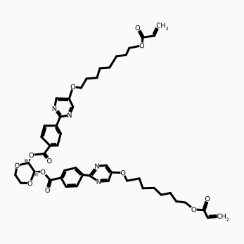 C=CC(=O)OCCCCCCCCOc1cnc(-c2ccc(C(=O)O[C@H]3OCCO[C@@H]3OC(=O)c3ccc(-c4ncc(OCCCCCCCCOC(=O)C=C)cn4)cc3)cc2)nc1